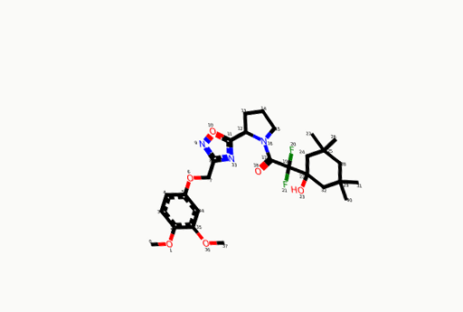 COc1ccc(OCc2noc(C3CCCN3C(=O)C(F)(F)C3(O)CC(C)(C)CC(C)(C)C3)n2)cc1OC